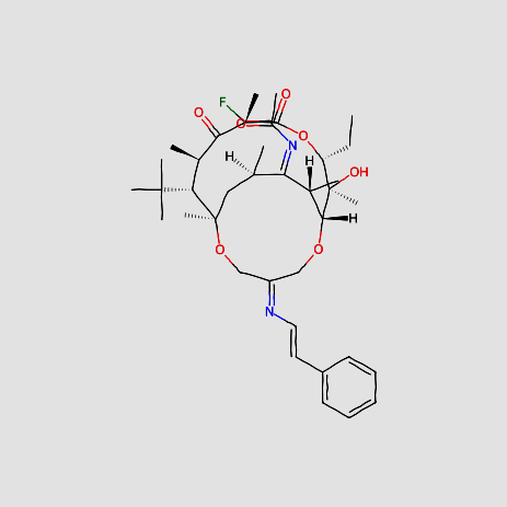 CC[C@H]1OC(=O)[C@@](C)(F)C(=O)[C@H](C)[C@@H](C(C)(C)C)[C@@]2(C)C[C@@H](C)/C(=N\C(C)=O)[C@H](C)[C@@H](OC/C(=N\C=C\c3ccccc3)CO2)[C@]1(C)O